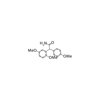 COc1ccc(C(C(N)=O)c2cc(OC)ccc2OC)cc1